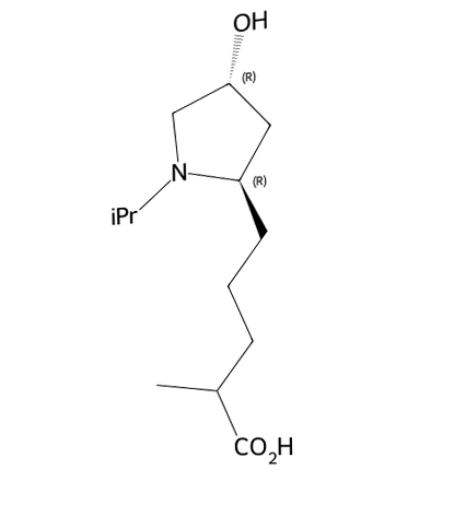 CC(CCC[C@@H]1C[C@@H](O)CN1C(C)C)C(=O)O